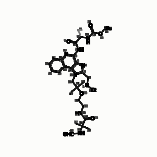 CCOCc1nc2c(NC(=O)[C@H](C)NC(=O)OC(C)(C)C)nc3ccccc3c2n1CC(C)(C)OCCNC(=O)C(C)(C)NC=O